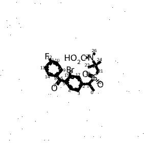 CC(c1ccc(C(=O)c2ccc(F)cc2)c(Br)c1)S(=O)(=O)CC(C)(C)N(C)C(=O)O